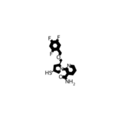 NC(=O)c1cccnc1N1C[C@H](S)C[C@H]1COCc1cc(F)c(F)cc1F